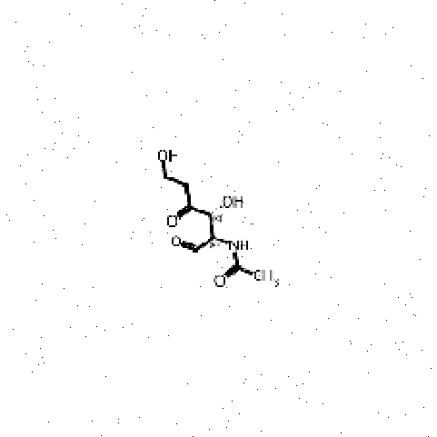 CC(=O)N[C@@H](C=O)[C@@H](O)C(=O)CCO